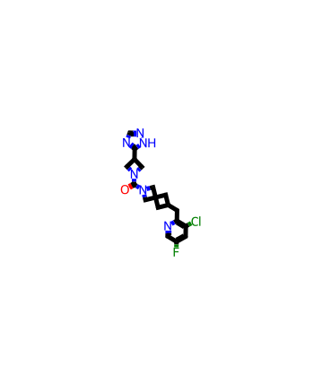 O=C(N1CC(c2ncn[nH]2)C1)N1CC2(CC(Cc3ncc(F)cc3Cl)C2)C1